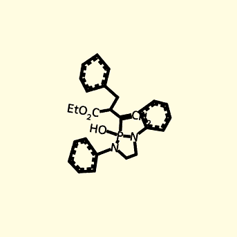 C=C(C(Cc1ccccc1)C(=O)OCC)[P]1(O)N(c2ccccc2)CCN1c1ccccc1